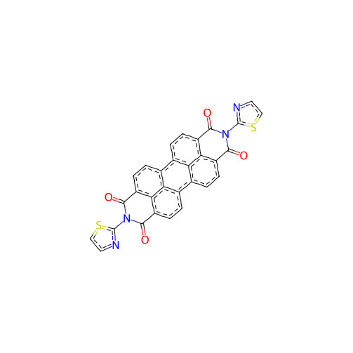 O=C1c2ccc3c4ccc5c6c(ccc(c7ccc(c2c37)C(=O)N1c1nccs1)c64)C(=O)N(c1nccs1)C5=O